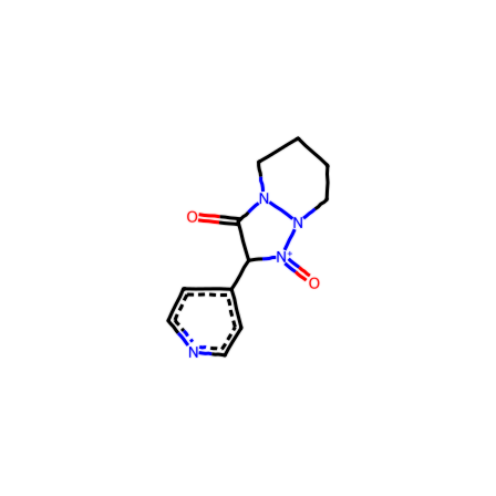 O=C1C(c2ccncc2)[N+](=O)N2CCCCN12